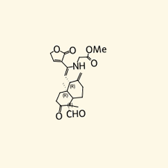 C=C1CCC2[C@](C)(C=O)C(=O)CC[C@@]2(C)[C@@H]1C=C(NCC(=O)OC)C1=CCOC1=O